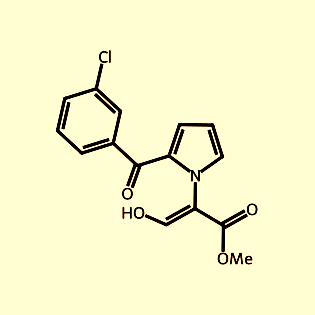 COC(=O)/C(=C/O)n1cccc1C(=O)c1cccc(Cl)c1